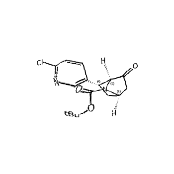 CC(C)(C)OC(=O)N1[C@H]2CC(=O)[C@@H]1[C@@H](c1ccc(Cl)nc1)C2